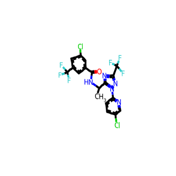 CC(NC(=O)c1cc(Cl)cc(C(F)(F)F)c1)c1nc(C(F)(F)F)nn1-c1ccc(Cl)cn1